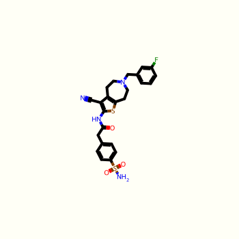 N#Cc1c(NC(=O)Cc2ccc(S(N)(=O)=O)cc2)sc2c1CCN(Cc1cccc(F)c1)CC2